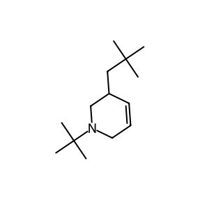 CC(C)(C)CC1C=CCN(C(C)(C)C)C1